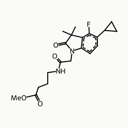 COC(=O)CCCNC(=O)CN1C(=O)C(C)(C)c2c1ccc(C1CC1)c2F